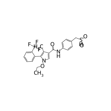 CCOn1cc(C(=O)Nc2ccc(C[SH](=O)=O)cc2)c(C)c1-c1ccccc1C(F)(F)F